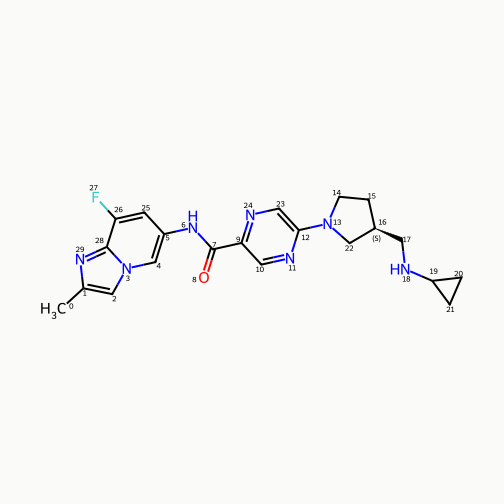 Cc1cn2cc(NC(=O)c3cnc(N4CC[C@@H](CNC5CC5)C4)cn3)cc(F)c2n1